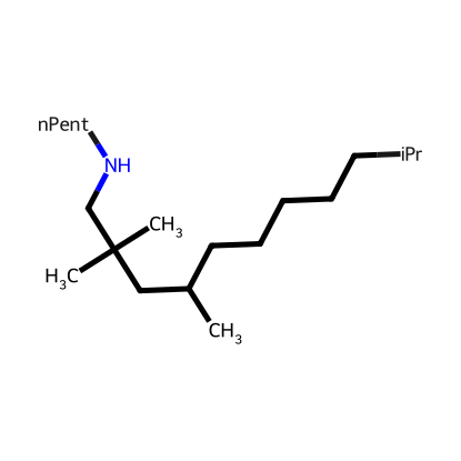 CCCCCNCC(C)(C)CC(C)CCCCCC(C)C